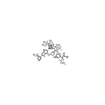 CCC[C@H](NC(=O)[C@@H]1C[C@@H](Oc2ccnc3cc(-c4cncn4C)sc23)CN1C(=O)[C@@H](NC(=O)NC(C)(C)C)C(C)(C)C)C(=O)C(=O)NC1CC1